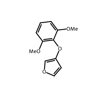 COc1cccc(OC)c1Oc1c[c]oc1